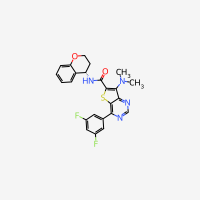 CN(C)c1c(C(=O)N[C@H]2CCOc3ccccc32)sc2c(-c3cc(F)cc(F)c3)ncnc12